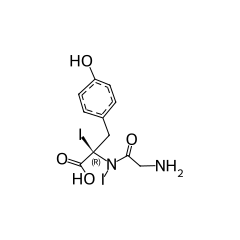 NCC(=O)N(I)[C@@](I)(Cc1ccc(O)cc1)C(=O)O